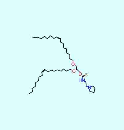 CCCCCCCC/C=C\CCCCCCCCOCC(COC(=S)NCCN1CCCC1)OCCCCCCCC/C=C\CCCCCCCC